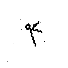 CCCCCCCCCC(c1ccccc1O)C(CCCCC)CCCCC